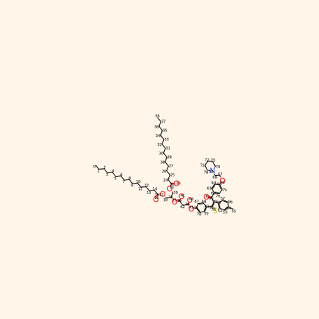 CCCCCCCCCCCCCCCC(=O)OCC(COC(=O)CCCCCCCCCCCCCCC)OC(=O)CC(=O)Oc1ccc(-c2sc3cc(C)ccc3c2C(=O)c2ccc(OCCN3CCCCC3)cc2)cc1